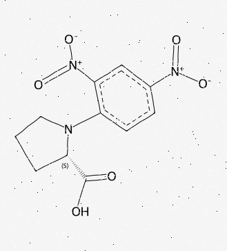 O=C(O)[C@@H]1CCCN1c1ccc([N+](=O)[O-])cc1[N+](=O)[O-]